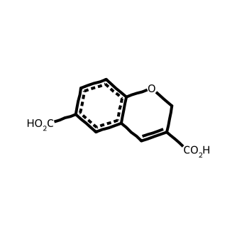 O=C(O)C1=Cc2cc(C(=O)O)ccc2OC1